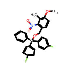 COc1ccc(CO[Si](c2ccccc2)(c2ccc(F)cc2)c2ccc(F)cc2)c([N+](=O)[O-])c1C